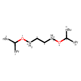 CCCCC(CCC)O[SiH2]CC[SiH2]OC(CCC)CCCC